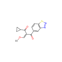 CCOC=C(C(=O)c1ccc2snnc2c1)C(=O)C1CC1